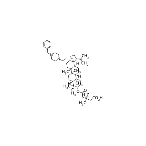 C=C(C)[C@@H]1CC[C@]2(CCN3CCN(Cc4ccccc4)CC3)CC[C@]3(C)[C@H](CC[C@@H]4[C@@]5(C)CC[C@H](OC(=O)CC(C)(C)CC(=O)O)C(C)(C)[C@@H]5CC[C@]43C)[C@@H]12